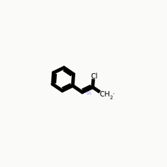 [CH2]/C(Cl)=C/c1ccccc1